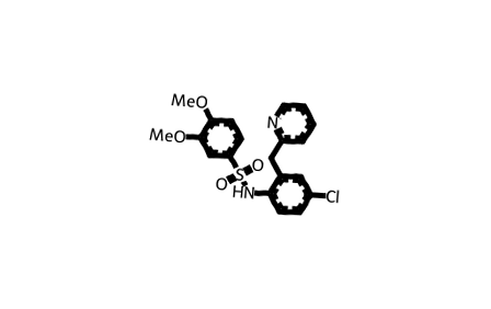 COc1ccc(S(=O)(=O)Nc2ccc(Cl)cc2Cc2ccccn2)cc1OC